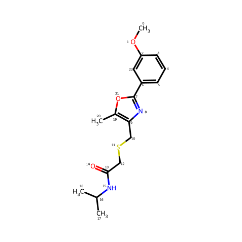 COc1cccc(-c2nc(CSCC(=O)NC(C)C)c(C)o2)c1